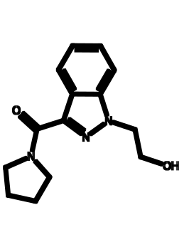 O=C(c1nn(CCO)c2ccccc12)N1CCCC1